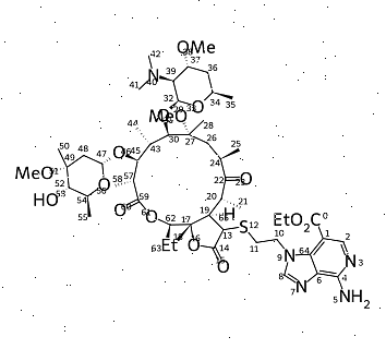 CCOC(=O)c1cnc(N)c2ncn(CCSC3C(=O)O[C@@]4(C)[C@H]3[C@@H](C)C(=O)[C@H](C)C[C@@](C)(OC)[C@H](O[C@@H]3O[C@H](C)C[C@@H](OC)[C@@H]3N(C)C)[C@@H](C)[C@H](O[C@H]3C[C@@](C)(OC)[C@@H](O)[C@H](C)O3)[C@@H](C)C(=O)O[C@@H]4CC)c12